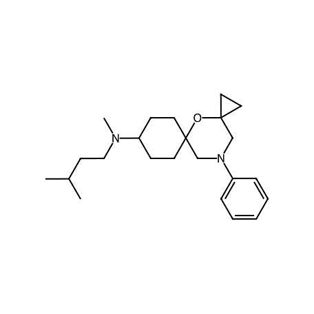 CC(C)CCN(C)C1CCC2(CC1)CN(c1ccccc1)CC1(CC1)O2